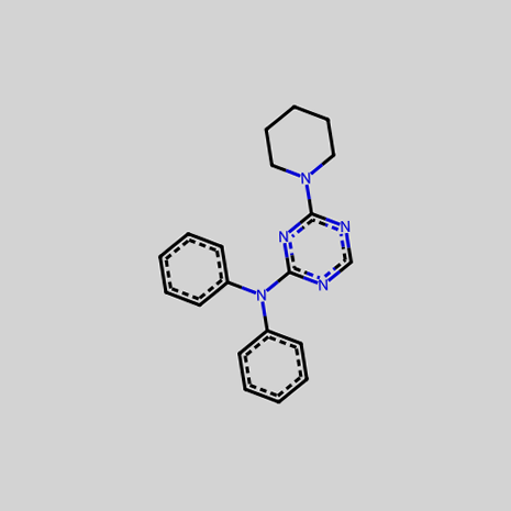 c1ccc(N(c2ccccc2)c2ncnc(N3CCCCC3)n2)cc1